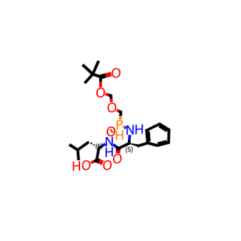 CC(C)C[C@H](NC(=O)[C@H](Cc1ccccc1)N[PH](=O)COCOC(=O)C(C)(C)C)C(=O)O